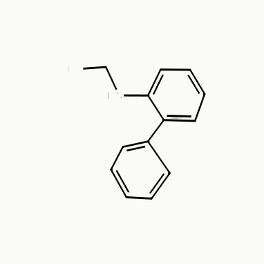 O=CCNc1ccccc1-c1ccccc1